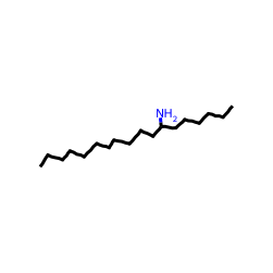 CCCCCCCCCCCC(N)CCCCCC